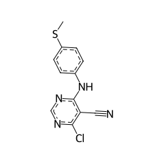 CSc1ccc(Nc2ncnc(Cl)c2C#N)cc1